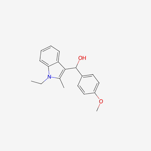 CCn1c(C)c(C(O)c2ccc(OC)cc2)c2ccccc21